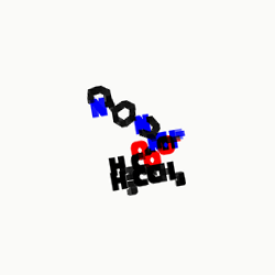 CC(C)(C)OC(=O)[NH+]([O-])C1CCN([C@H]2CC[C@H](c3ccccn3)CC2)C1